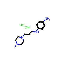 CN1CCN(CCCNc2ccc(N)cc2)CC1.Cl.Cl